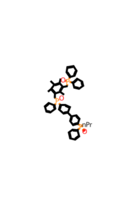 CCCP(=O)(c1ccccc1)c1ccc(-c2ccc(P(=O)(Cc3c(C)c(C)c(C)c(CP(=O)(c4ccccc4)c4ccccc4)c3C)c3ccccc3)cc2)cc1